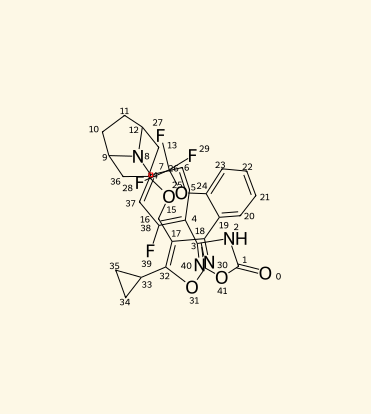 O=c1[nH]c(-c2ccc(N3C4CCC3CC(OCc3c(-c5ccccc5OC(F)(F)F)noc3C3CC3)C4)cc2F)no1